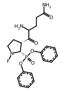 NC(=O)CCC(N)C(=O)[C@H]1CCN(F)[C@H]1P(=O)(Oc1ccccc1)Oc1ccccc1